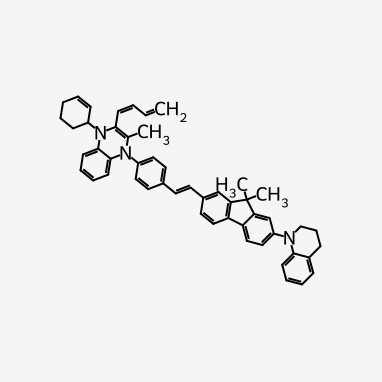 C=C/C=C\C1=C(C)N(c2ccc(/C=C/c3ccc4c(c3)C(C)(C)c3cc(N5CCCc6ccccc65)ccc3-4)cc2)c2ccccc2N1C1C=CCCC1